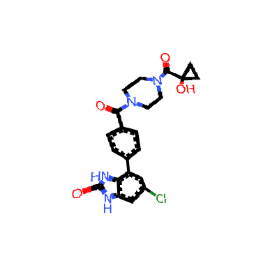 O=C(c1ccc(-c2cc(Cl)cc3[nH]c(=O)[nH]c23)cc1)N1CCN(C(=O)C2(O)CC2)CC1